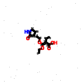 CCOC(OCC)=C(CC)C(=O)O.O=C1CCCN1